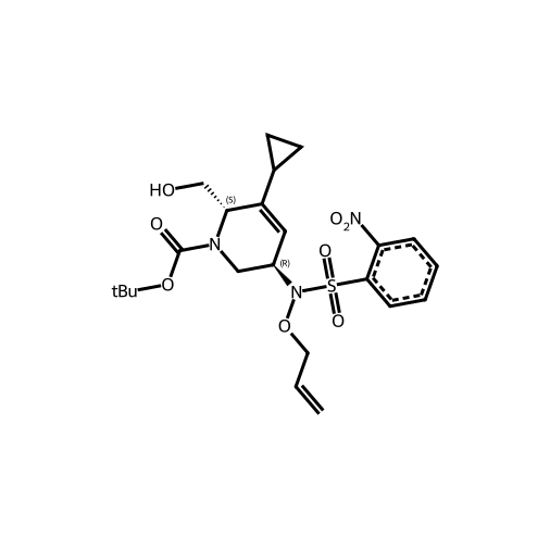 C=CCON([C@@H]1C=C(C2CC2)[C@@H](CO)N(C(=O)OC(C)(C)C)C1)S(=O)(=O)c1ccccc1[N+](=O)[O-]